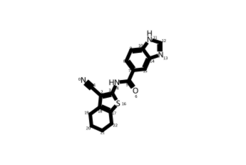 N#Cc1c(NC(=O)c2ccc3[nH]cnc3c2)sc2c1CCCC2